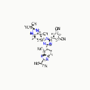 N#CC(C#N)=C1N=c2ccc(-c3nc(-c4cc(C#N)cc(C#N)c4)nc(-c4ccc5c(c4C#N)=NC(=C(C#N)C#N)N=5)n3)c(C#N)c2=N1